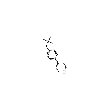 CC(C)(C)Cc1ccc(N2CCOCC2)cc1